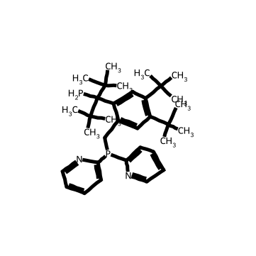 CC(C)(C)c1cc(CP(c2ccccn2)c2ccccn2)c(C(P)(C(C)(C)C)C(C)(C)C)cc1C(C)(C)C